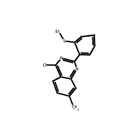 CCSc1ccccc1-c1nc(Cl)c2ccc(C(F)(F)F)cc2n1